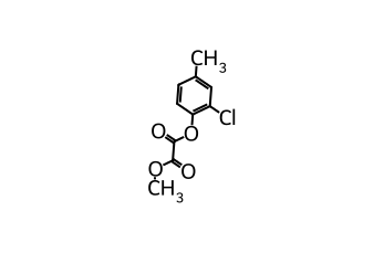 COC(=O)C(=O)Oc1ccc(C)cc1Cl